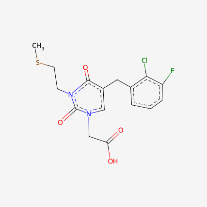 CSCCn1c(=O)c(Cc2cccc(F)c2Cl)cn(CC(=O)O)c1=O